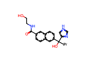 CC(C)C(O)(c1ccc2cc(C(=O)NCCO)ccc2c1)c1c[nH]cn1